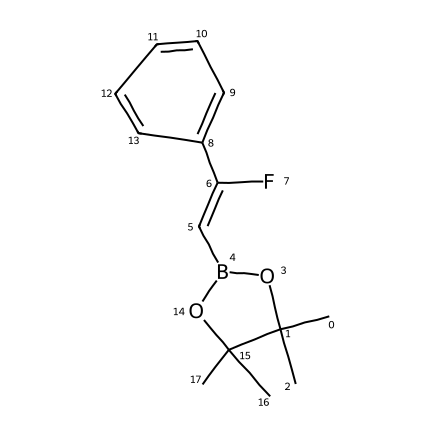 CC1(C)OB(C=C(F)c2ccccc2)OC1(C)C